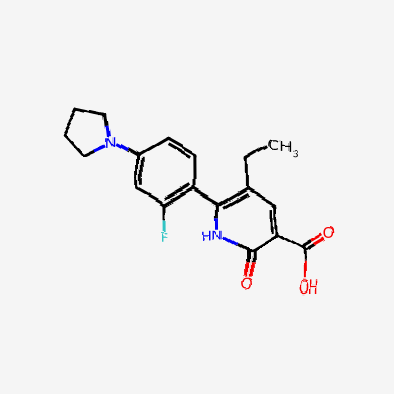 CCc1cc(C(=O)O)c(=O)[nH]c1-c1ccc(N2CCCC2)cc1F